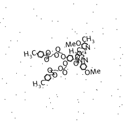 COc1ccc2c(c1)nc([S+]([O-])Cc1ncc(C)c(OC)c1C)n2S(=O)(=O)c1ccc(OCC(=O)OCCS(=O)(=O)c2ccc(C)cc2)c(OCC(=O)OCCS(=O)(=O)c2ccc(C)cc2)c1